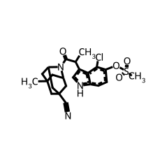 CC(C(=O)N1C2CC3(C)CC1CC(C#N)(C2)C3)c1c[nH]c2ccc(OS(C)(=O)=O)c(Cl)c12